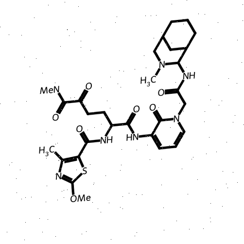 CNC(=O)C(=O)CCC(NC(=O)c1sc(OC)nc1C)C(=O)Nc1cccn(CC(=O)NC2C3CCCC(C3)CN2C)c1=O